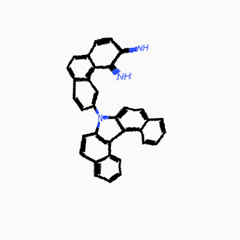 N=C1C=Cc2ccc3ccc(-n4c5ccc6ccccc6c5c5c6ccccc6ccc54)cc3c2C1=N